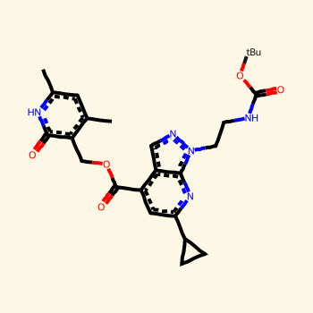 Cc1cc(C)c(COC(=O)c2cc(C3CC3)nc3c2cnn3CCNC(=O)OC(C)(C)C)c(=O)[nH]1